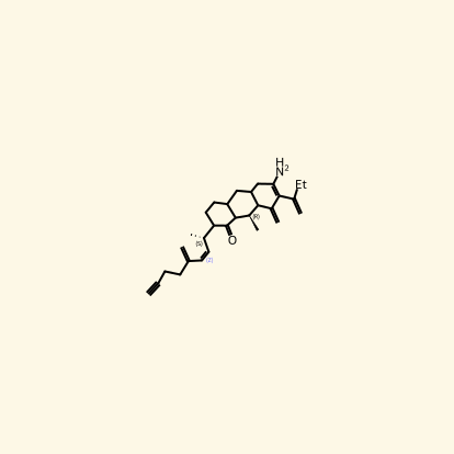 C#CCCC(=C)/C=C\[C@H](C)C1CCC2CC3CC(N)=C(C(=C)CC)C(=C)C3[C@@H](C)C2C1=O